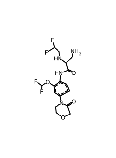 NC[C@H](NCC(F)F)C(=O)Nc1ccc(N2CCOCC2=O)cc1OC(F)F